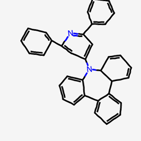 C1=CC2c3ccccc3-c3ccccc3N(c3cc(-c4ccccc4)nc(-c4ccccc4)c3)C2C=C1